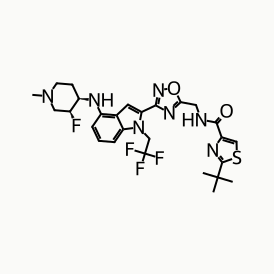 CN1CC[C@@H](Nc2cccc3c2cc(-c2noc(CNC(=O)c4csc(C(C)(C)C)n4)n2)n3CC(F)(F)F)[C@@H](F)C1